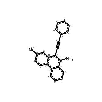 Nc1c(C#Cc2ccccc2)c2cc(Cl)ccc2c2ccccc12